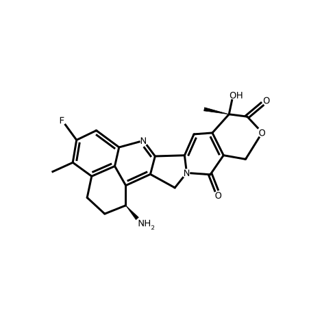 Cc1c(F)cc2nc3c(c4c2c1CC[C@@H]4N)Cn1c-3cc2c(c1=O)COC(=O)[C@@]2(C)O